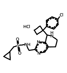 Cl.O=S(=O)(CC1CC1)NCc1ncc2c(n1)C(C1(c3ccc(Cl)cc3)CCC1)NCC2